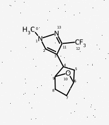 Cn1cc(C2CC3CCC2O3)c(C(F)(F)F)n1